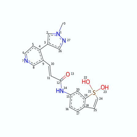 Cn1cc(-c2ccncc2C=CC(=O)Nc2ccc3c(c2)S(O)(O)C=C3)cn1